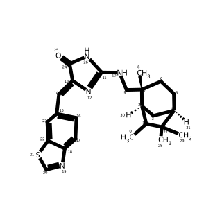 CC1[C@@H]2C[C@@H](CC[C@@]2(C)CNC2=N/C(=C\c3ccc4ncsc4c3)C(=O)N2)C1(C)C